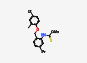 CCc1ccc(OCc2ccc(C(C)C)cc2NC(=S)OC)c(C)c1